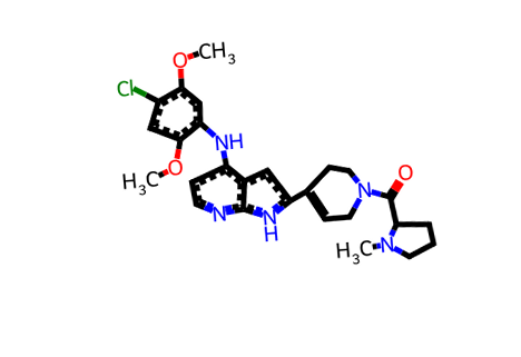 COc1cc(Nc2ccnc3[nH]c(C4=CCN(C(=O)C5CCCN5C)CC4)cc23)c(OC)cc1Cl